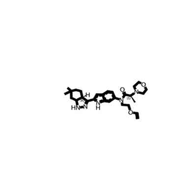 C=COCCN(C(=O)[C@H](C)N1CCOCC1)c1ccc2cc(C3=NNC4CC(C)(C)CC[C@@H]34)[nH]c2c1